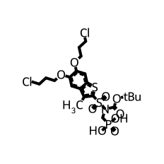 Cc1c(S(=O)(=O)N(CP(=O)(O)O)C(=O)OC(C)(C)C)sc2cc(OCCCCl)c(OCCCCl)cc12